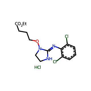 CCOC(=O)CCCON1CCNC1=Nc1c(Cl)cccc1Cl.Cl